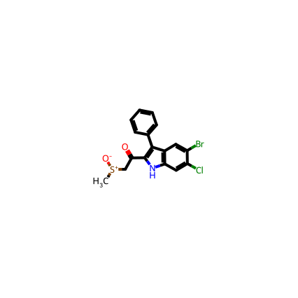 C[S+]([O-])CC(=O)c1[nH]c2cc(Cl)c(Br)cc2c1-c1ccccc1